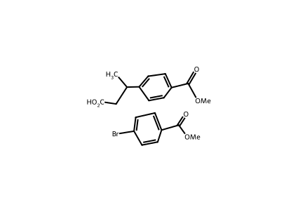 COC(=O)c1ccc(Br)cc1.COC(=O)c1ccc(C(C)CC(=O)O)cc1